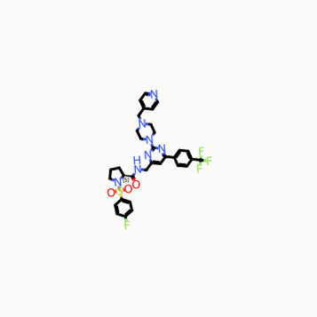 O=C(NCc1cc(-c2ccc(C(F)(F)F)cc2)nc(N2CCN(Cc3ccncc3)CC2)n1)[C@@H]1CCCN1S(=O)(=O)c1ccc(F)cc1